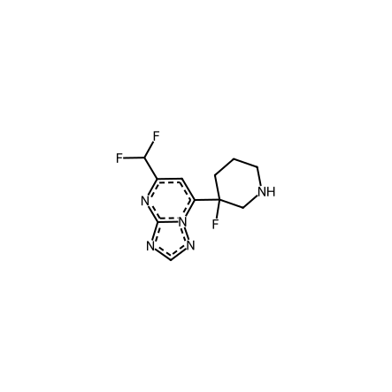 FC(F)c1cc(C2(F)CCCNC2)n2ncnc2n1